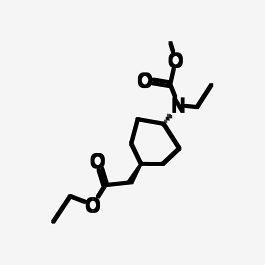 CCOC(=O)C[C@H]1CC[C@H](N(CC)C(=O)OC)CC1